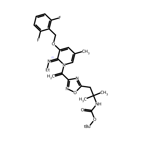 C=C(c1noc(CC(C)(C)NC(=O)OC(C)(C)C)n1)n1cc(C)cc(OCc2c(F)cccc2F)/c1=N/CC